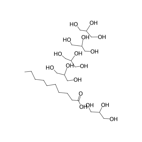 CCCCCCCCCC(=O)O.OCC(O)CO.OCC(O)CO.OCC(O)CO.OCC(O)CO.OCC(O)CO